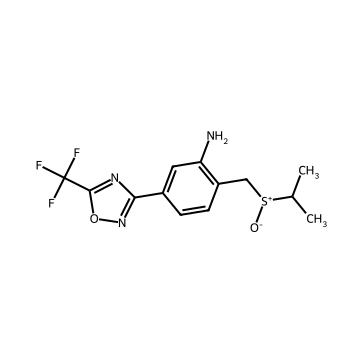 CC(C)[S+]([O-])Cc1ccc(-c2noc(C(F)(F)F)n2)cc1N